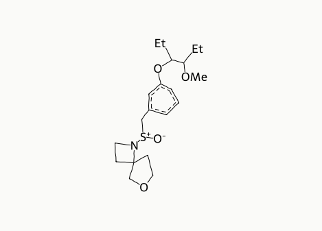 CCC(OC)C(CC)Oc1cccc(C[S+]([O-])N2CCC23CCOC3)c1